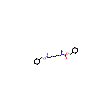 O=C(NCCCCCNOCc1ccccc1)OCc1ccccc1